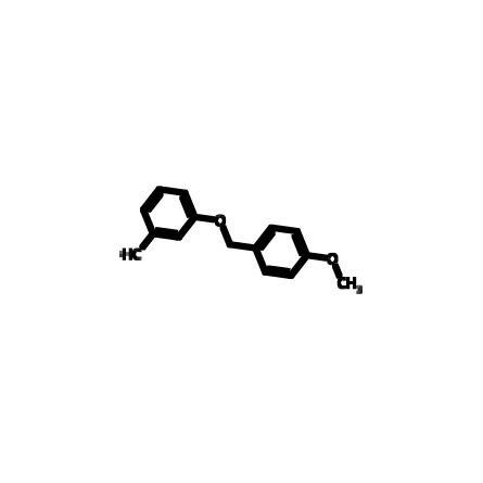 [CH]c1cccc(OCc2ccc(OC)cc2)c1